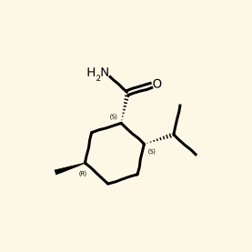 CC(C)[C@@H]1CC[C@@H](C)C[C@@H]1C(N)=O